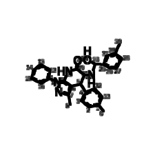 Cc1ccc(C2c3c(C)nn(-c4ccccc4)c3NC(=O)C2NC(O)c2cccc(C)c2)cc1